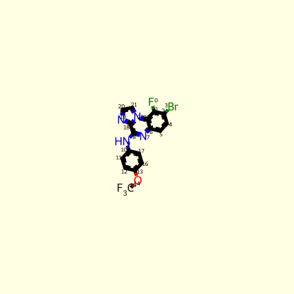 Fc1c(Br)ccc2nc(Nc3ccc(OC(F)(F)F)cc3)c3nccn3c12